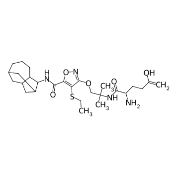 C=C(O)CCC(N)C(=O)NC(C)(C)COc1noc(C(=O)NC2C3CC4CCCC2C(C4)C3)c1SCC